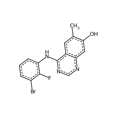 Cc1cc2c(Nc3cccc(Br)c3F)ncnc2cc1O